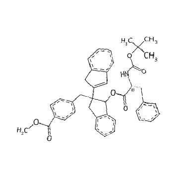 COC(=O)c1ccc(CC2(C3=Cc4ccccc4C3)Cc3ccccc3C2OC(=O)[C@@H](Cc2ccccc2)NC(=O)OC(C)(C)C)cc1